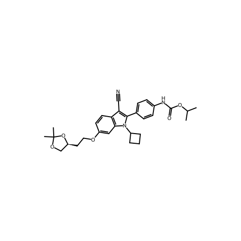 CC(C)OC(=O)Nc1ccc(-c2c(C#N)c3ccc(OCC[C@H]4COC(C)(C)O4)cc3n2C2CCC2)cc1